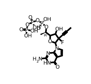 CC#CC1(F)C(O)C([C@@H](C)OP(=O)(O)OP(=O)(O)OP(=O)(O)O)OC1n1ccc2c(=O)[nH]c(N)nc21